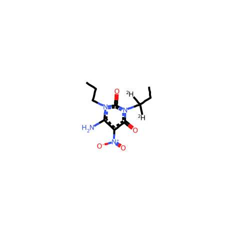 [2H]C([2H])(CC)n1c(=O)c([N+](=O)[O-])c(N)n(CCC)c1=O